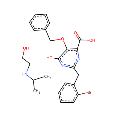 CC(C)NCCO.O=C(O)c1nc(Cc2ccccc2Br)nc(O)c1OCc1ccccc1